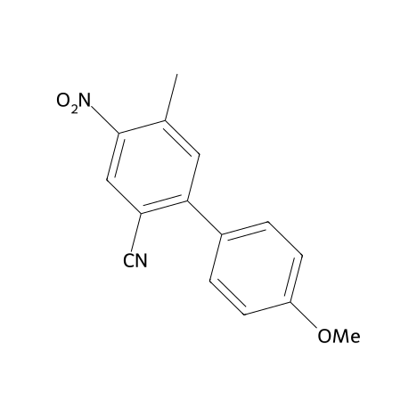 COc1ccc(-c2cc(C)c([N+](=O)[O-])cc2C#N)cc1